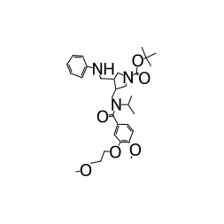 COCCCOc1cc(C(=O)N(CC2CN(C(=O)OC(C)(C)C)CC2CNc2ccccc2)C(C)C)ccc1OC